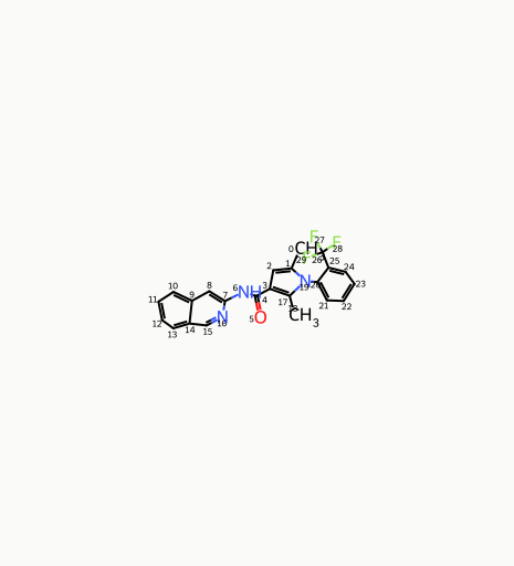 Cc1cc(C(=O)Nc2cc3ccccc3cn2)c(C)n1-c1ccccc1C(F)(F)F